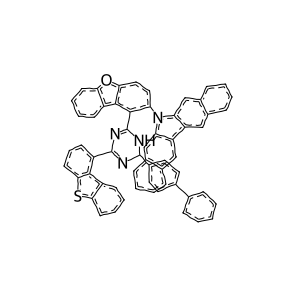 c1ccc(-c2ccc(C3N=C(c4cccc5sc6ccccc6c45)N=C(c4c(-n5c6cc7ccccc7cc6c6cc7ccccc7cc65)ccc5oc6ccccc6c45)N3)cc2)cc1